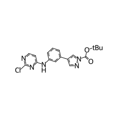 CC(C)(C)OC(=O)n1cc(-c2cccc(Nc3ccnc(Cl)n3)c2)cn1